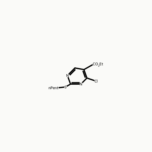 CCCCCSc1ncc(C(=O)OCC)c(Cl)n1